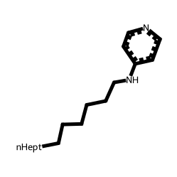 CCCCCCCCCCCCCNc1ccncc1